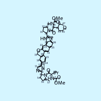 COC(=O)NC(C(=O)N1C(c2ncc(-c3ccc4c(c3)COc3cc5c(ccc6nc(C7CC[C@H](C)N7C(=O)C(NC(=O)OC)C7CCOCC7)[nH]c65)cc3-4)[nH]2)CC[C@@H]1C)C(C)C